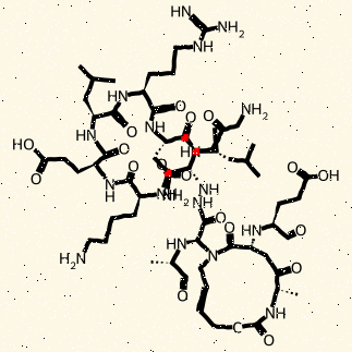 CC[C@H](C)[C@H](NNC(=O)[C@H](N[C@@H](C)C=O)N1C/C=C/CCC(=O)N[C@@H](C)C(=O)C[C@@H](N[C@H](C=O)CCC(=O)O)C1=O)C(=O)N[C@@H](CCCCN)C(=O)N[C@@H](CCC(=O)O)C(=O)N[C@@H](CC(C)C)C(=O)N[C@@H](CCCNC(=N)N)C(=O)N[C@@H](CC(N)=O)C(=O)N[C@@H](CC(C)C)C(=O)CN